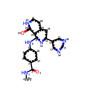 CCCNC(=O)c1ccc(Nc2nc(-c3cncnc3)cc3cc[nH]c(=O)c23)cc1